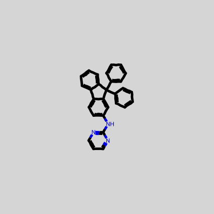 c1ccc(C2(c3ccccc3)c3ccccc3-c3ccc(Nc4ncccn4)cc32)cc1